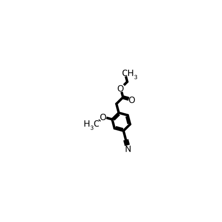 CCOC(=O)Cc1ccc(C#N)cc1OC